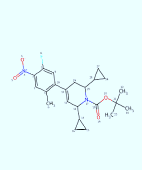 Cc1cc([N+](=O)[O-])c(F)cc1C1=CC(C2CC2)N(C(=O)OC(C)(C)C)C(C2CC2)C1